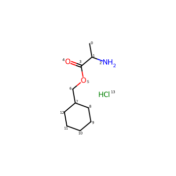 CC(N)C(=O)OCC1CCCCC1.Cl